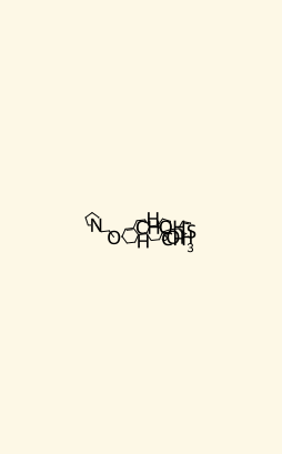 C[C@]12CC[C@H]3[C@@H](CCC4=C[C@@H](OCCN5CCCC5)CC[C@@]43C)[C@@]1(O)CC[C@]2(O)c1ccsc1